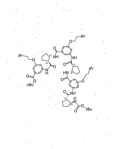 CCCCOC(=O)c1cc(NC(=O)[C@H]2CCC[C@@H]2NC(=O)c2cc(NC(=O)[C@H]3CCC[C@@H]3NC(=O)c3cc(NC(=O)[C@H]4CCC[C@@H]4NC(=O)OC(C)(C)C)cc(OCCC(C)C)c3)cc(OCCC(C)C)c2)cc(OCCC(C)C)c1